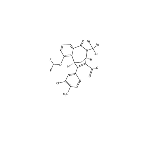 [2H]C([2H])([2H])N1C(=O)c2cccc(OC(F)F)c2[C@H]2C[C@@H]1C([N+](=O)[O-])=C2c1cc(Cl)c(C)cn1